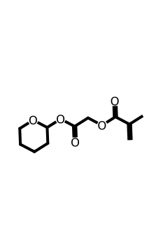 C=C(C)C(=O)OCC(=O)OC1CCCCO1